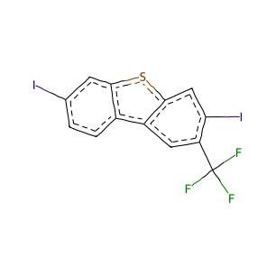 FC(F)(F)c1cc2c(cc1I)sc1cc(I)ccc12